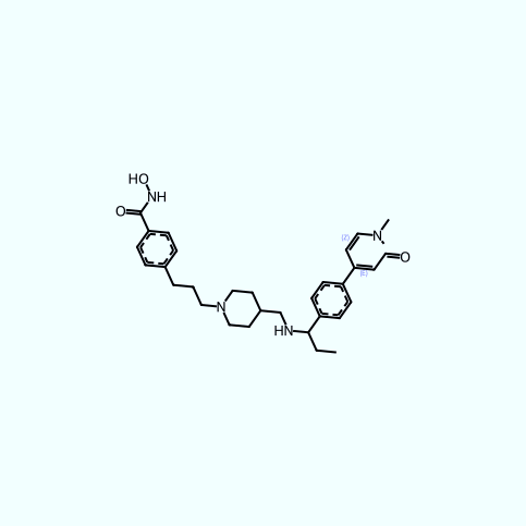 CCC(NCC1CCN(CCCc2ccc(C(=O)NO)cc2)CC1)c1ccc(C(/C=C\N(C)C)=C/C=O)cc1